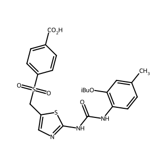 Cc1ccc(NC(=O)Nc2ncc(CS(=O)(=O)c3ccc(C(=O)O)cc3)s2)c(OCC(C)C)c1